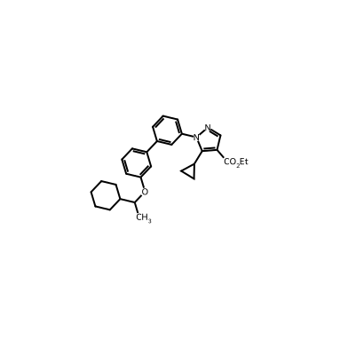 CCOC(=O)c1cnn(-c2cccc(-c3cccc(OC(C)C4CCCCC4)c3)c2)c1C1CC1